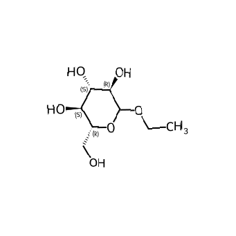 CCOC1O[C@H](CO)[C@@H](O)[C@H](O)[C@H]1O